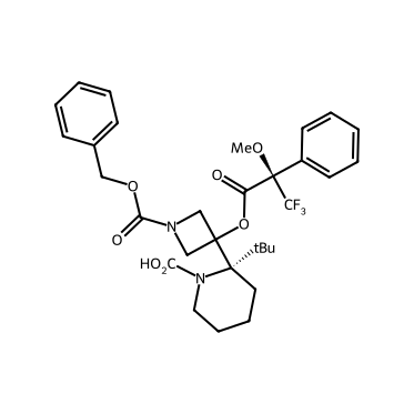 CO[C@@](C(=O)OC1([C@@]2(C(C)(C)C)CCCCN2C(=O)O)CN(C(=O)OCc2ccccc2)C1)(c1ccccc1)C(F)(F)F